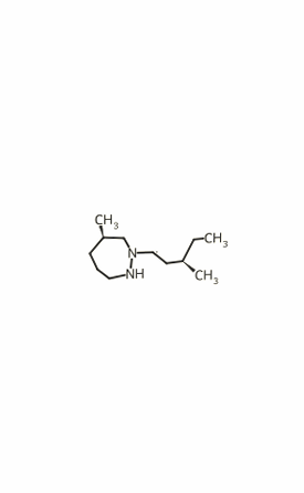 CC[C@@H](C)C[CH]N1C[C@H](C)CCCN1